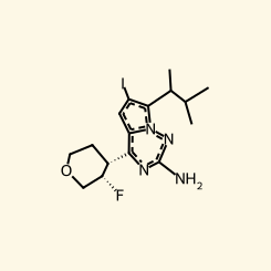 CC(C)C(C)c1c(I)cc2c([C@H]3CCOC[C@H]3F)nc(N)nn12